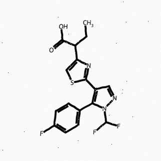 CCC(C(=O)O)c1csc(-c2cnn(C(F)F)c2-c2ccc(F)cc2)n1